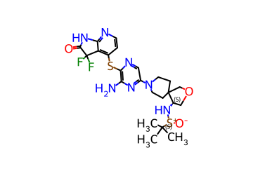 CC(C)(C)[S@@+]([O-])N[C@@H]1COCC12CCN(c1cnc(Sc3ccnc4c3C(F)(F)C(=O)N4)c(N)n1)CC2